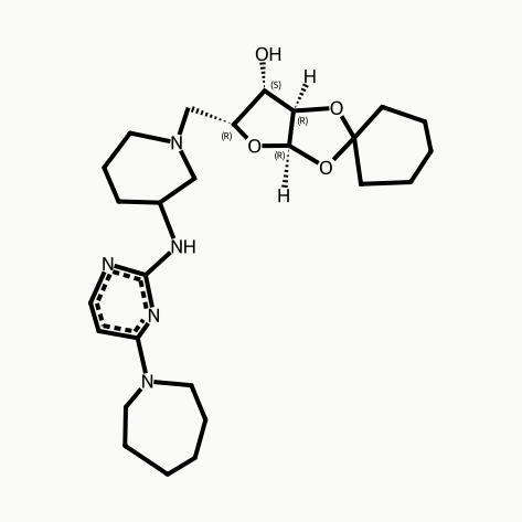 O[C@@H]1[C@H]2OC3(CCCCC3)O[C@H]2O[C@@H]1CN1CCCC(Nc2nccc(N3CCCCCC3)n2)C1